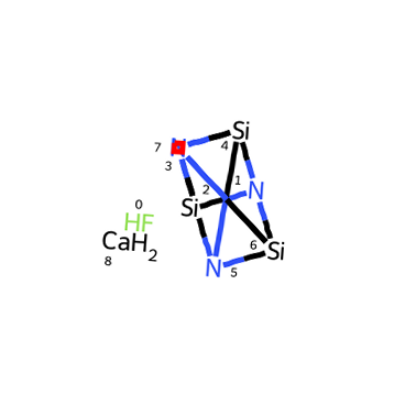 F.N12[Si]34N5[Si]16N3[Si]25N46.[CaH2]